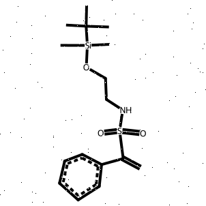 C=C(c1ccccc1)S(=O)(=O)NCCO[Si](C)(C)C(C)(C)C